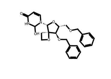 O=C1C=CN([C@@H]2O[C@H](COCc3ccccc3)[C@@H](OCc3ccccc3)[C@]23CCO3)C(O)N1